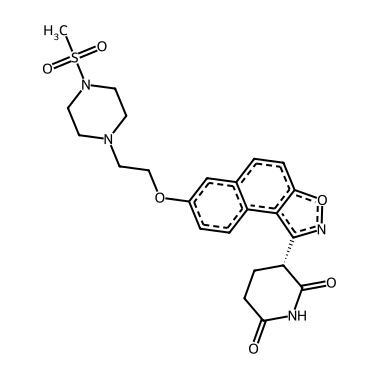 CS(=O)(=O)N1CCN(CCOc2ccc3c(ccc4onc([C@H]5CCC(=O)NC5=O)c43)c2)CC1